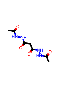 CC(=O)NNC(=O)CC(=O)NNC(C)=O